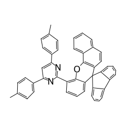 Cc1ccc(-c2cc(-c3ccc(C)cc3)nc(-c3cccc4c3Oc3c(ccc5ccccc35)C43c4ccccc4-c4ccccc43)n2)cc1